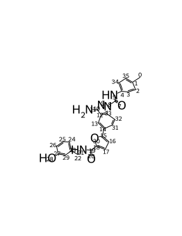 Cc1ccc(NC(=O)n2nc(N)c3cc(-c4ccc(C(=O)NCc5cccc(O)c5)o4)ccc32)cc1